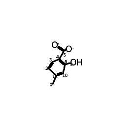 Cc1ccc(C([O])=O)c(O)c1